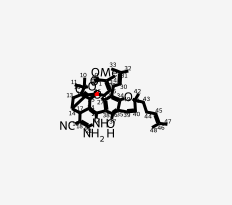 COC(=O)/C(C)=C\CC12OC(C)(C)C3CC(C1=O)C1C(C#N)=C(N)NC4=C1C32Oc1c(CC=C(C)C)c2c(c(O)c14)C=CC(C)(CCC=C(C)C)O2